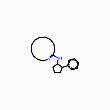 c1ccc(C2CCCC2N/C2=N/CCCCCCCCCCC2)cc1